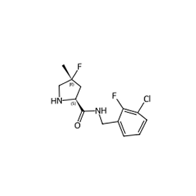 C[C@]1(F)CN[C@H](C(=O)NCc2cccc(Cl)c2F)C1